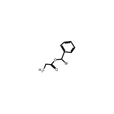 CCC(=O)OC(Br)c1ccccc1